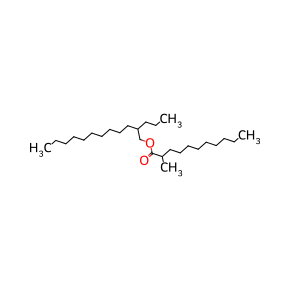 CCCCCCCCCCC(CCC)COC(=O)C(C)CCCCCCCCC